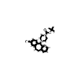 CC(C)(C)OC(=O)N1CCN(C2c3ccc(Cl)cc3CCc3cccnc32)CC1